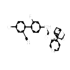 N#Cc1cc(Cl)ccc1-c1ccc(NC(=O)[C@@]23C[C@]4(CC[C@H]2O4)[C@H]3c2ccncc2)cc1F